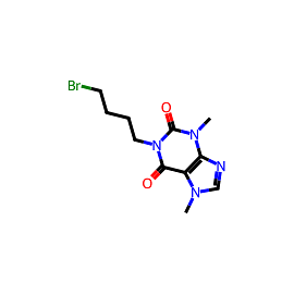 Cn1cnc2c1c(=O)n(CCCCBr)c(=O)n2C